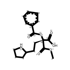 COC(=O)[C@](CCC1CCCN1)(OC(=O)c1ccccc1)C(=O)O